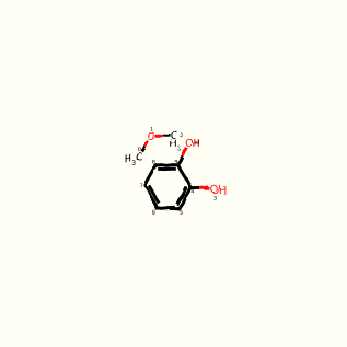 COC.Oc1ccccc1O